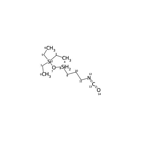 CC[Si](CC)(CC)O[SiH2]CCCN=C=O